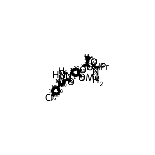 COc1cc(N(C=N)C(=O)c2cc(-c3ccc(Cl)cc3)c[nH]2)ccc1OCC(OC(=O)C(N)C(C)C)C1CC1